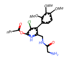 CCCC(=O)Oc1[nH]c(CNC(=O)CN)c(-c2ccc(OC)c(OC)c2OC)c1Cl